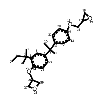 CCC(C)(C)c1cc(C(C)(C)c2ccc(OCC3CO3)cc2)ccc1OC1COC1